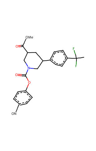 COC(=O)C1CC(c2ccc(C(C)(F)F)cc2)CN(C(=O)Oc2ccc(N=O)cc2)C1